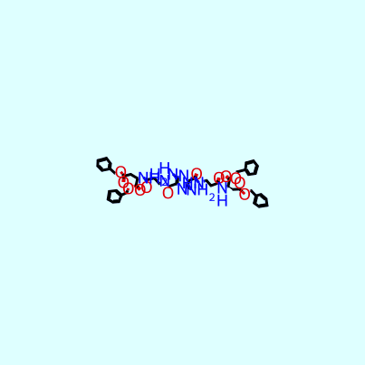 Nc1nc(C(=O)NCCC(=O)N[C@H](CC(=O)OCc2ccccc2)C(=O)OCc2ccccc2)c(N)nc1C(=O)NCCC(=O)NC(CC(=O)OCc1ccccc1)C(=O)OCc1ccccc1